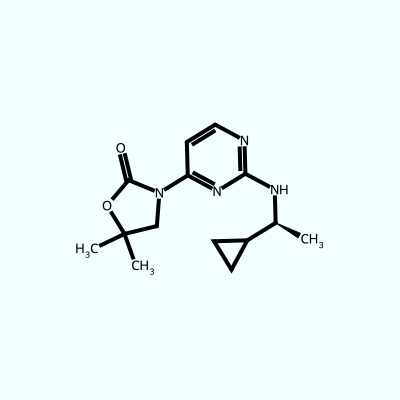 C[C@H](Nc1nccc(N2CC(C)(C)OC2=O)n1)C1CC1